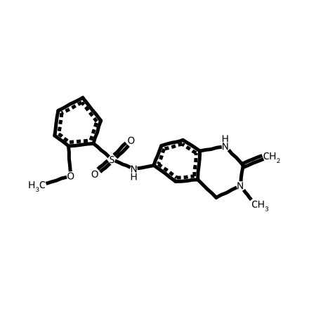 C=C1Nc2ccc(NS(=O)(=O)c3ccccc3OC)cc2CN1C